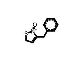 O=[N+]1SCC=C1Cc1ccccc1